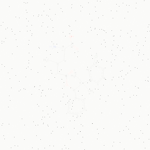 CC(CC(=O)OC(c1ccccc1)C(C)(C)c1cccc(Cl)c1)C[C@H](N)C(=O)O